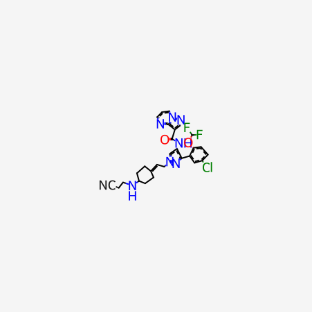 N#CCCNC1CCC(=CCn2cc(NC(=O)c3cnn4cccnc34)c(-c3cc(Cl)ccc3OC(F)F)n2)CC1